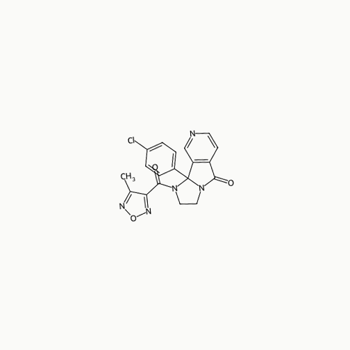 Cc1nonc1C(=O)N1CCN2C(=O)c3ccncc3C21c1ccc(Cl)cc1